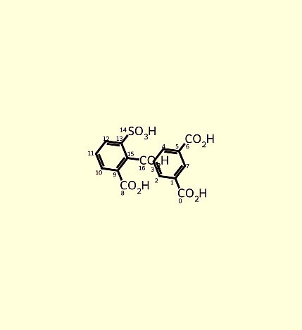 O=C(O)c1cccc(C(=O)O)c1.O=C(O)c1cccc(S(=O)(=O)O)c1C(=O)O